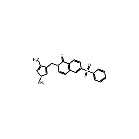 Cc1nn(C)cc1Cn1ncc2cc(S(=O)(=O)c3ccccc3)ccc2c1=O